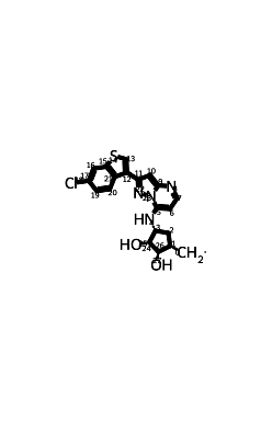 [CH2][C@@H]1C[C@@H](Nc2ccnc3cc(-c4csc5cc(Cl)ccc45)nn23)[C@H](O)[C@@H]1O